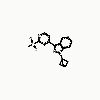 CS(=O)(=O)c1nccc(-c2nn(C34CC(C3)C4)c3ccccc23)n1